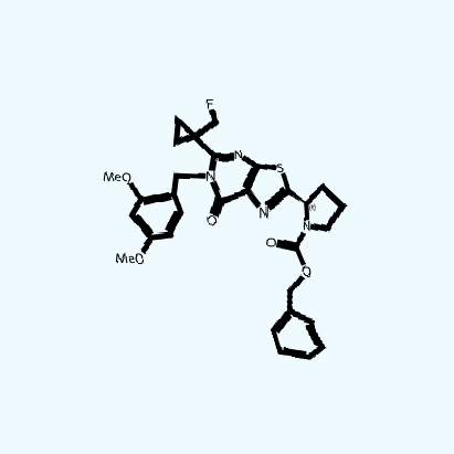 COc1ccc(Cn2c(C3(CF)CC3)nc3sc([C@H]4CCCN4C(=O)OCc4ccccc4)nc3c2=O)c(OC)c1